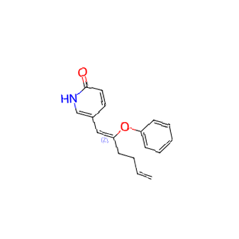 C=CCC/C(=C/c1ccc(=O)[nH]c1)Oc1ccccc1